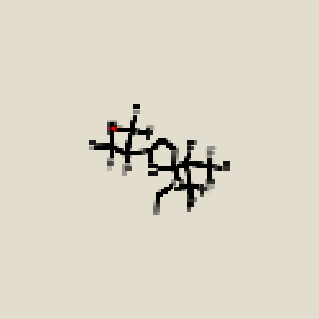 CCOC1(C(F)(C(F)(F)F)C(F)(F)F)CCC(C(F)(C(F)(F)F)C(F)(F)F)O1